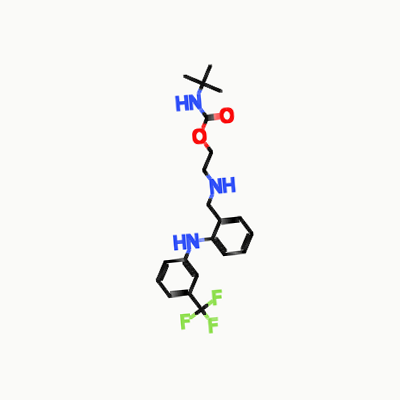 CC(C)(C)NC(=O)OCCNCc1ccccc1Nc1cccc(C(F)(F)F)c1